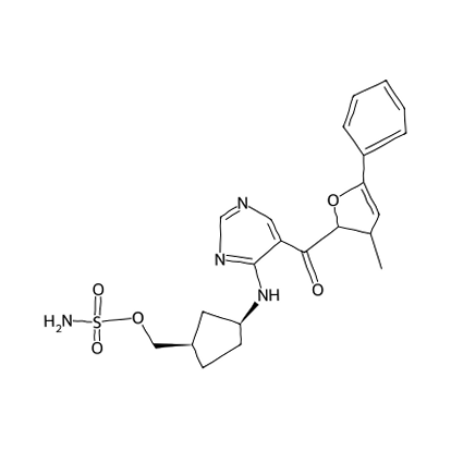 CC1C=C(c2ccccc2)OC1C(=O)c1cncnc1N[C@H]1CC[C@@H](COS(N)(=O)=O)C1